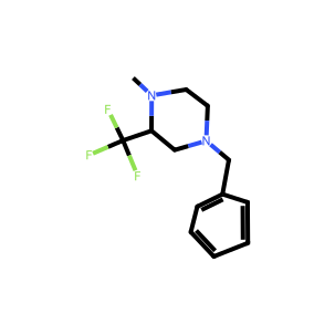 CN1CCN(Cc2ccccc2)CC1C(F)(F)F